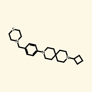 c1cc(N2CCC3(CC2)CCN(C2CCC2)CC3)ccc1CN1CCSCC1